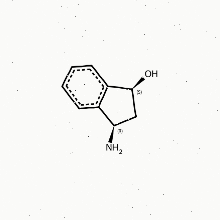 N[C@@H]1C[C@H](O)c2ccccc21